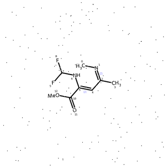 C/N=C(C)\C=C(/NC(F)F)C(=O)OC